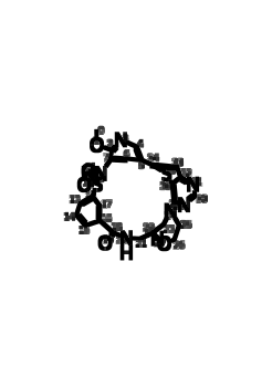 COc1ncc2cc1NS(=O)(=O)c1cccc(c1)C(=O)NC[C@@H]1CN(CCO1)c1ncnc3cc-2sc13